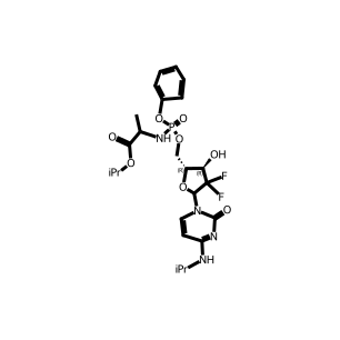 CC(C)Nc1ccn(C2O[C@H](COP(=O)(NC(C)C(=O)OC(C)C)Oc3ccccc3)[C@@H](O)C2(F)F)c(=O)n1